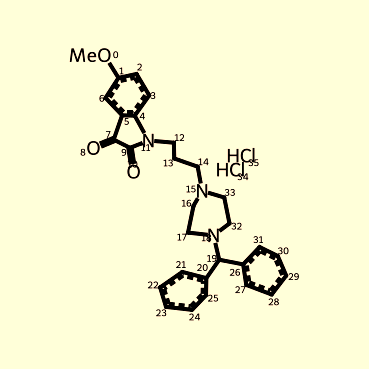 COc1ccc2c(c1)C(=O)C(=O)N2CCCN1CCN(C(c2ccccc2)c2ccccc2)CC1.Cl.Cl